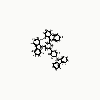 c1ccc2c(c1)c1ccccc1n2-c1ccc(-c2nc(-n3c4ccccc4c4ccccc43)nc(-n3c4ccccc4c4ccccc43)n2)cc1